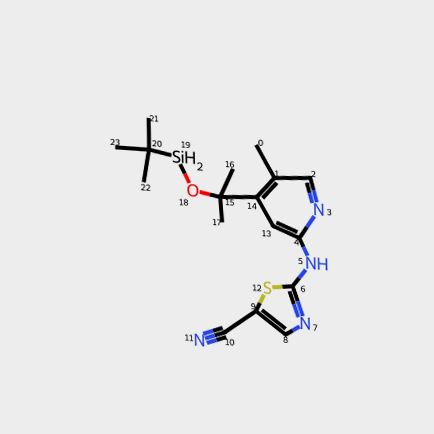 Cc1cnc(Nc2ncc(C#N)s2)cc1C(C)(C)O[SiH2]C(C)(C)C